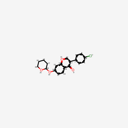 O=c1c(-c2ccc(Cl)cc2)coc2cc(OC3CCCCO3)ccc12